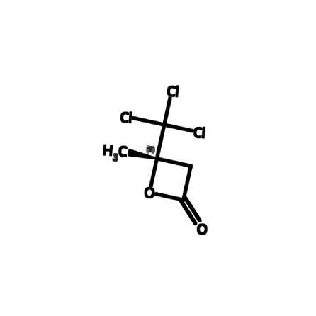 C[C@@]1(C(Cl)(Cl)Cl)CC(=O)O1